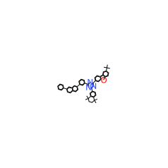 CC(C)(C)c1ccc2oc3cc(-c4nc(-c5cccc(-c6ccc7ccc(-c8ccccc8)cc7c6)c5)nc(-c5ccc6c(c5)C(C)(C)CCC6(C)C)n4)ccc3c2c1